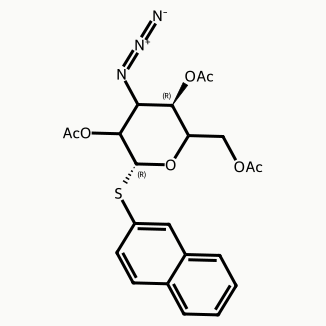 CC(=O)OCC1O[C@H](Sc2ccc3ccccc3c2)C(OC(C)=O)C(N=[N+]=[N-])[C@H]1OC(C)=O